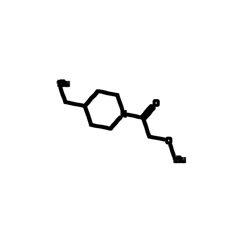 CC(C)(C)CC1CCN(C(=O)COC(C)(C)C)CC1